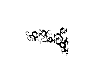 CC[C@@H]1C[C@H](N(Cc2cc(C(F)(F)F)cc(C(F)(F)F)c2)c2ncc(-n3ccnc3)cn2)CN1c1nc(N2CCC(C(=O)O)CC2)ncc1Cl